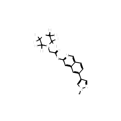 [2H]C1([2H])OC([2H])([2H])C([2H])([2H])N(CC(=O)Nc2cc3cc(-c4cnn(C)c4)ccc3cn2)C1([2H])[2H]